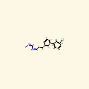 C/N=C\N=C/CCc1cccc(-c2cccc(Cl)c2)c1